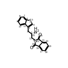 N[C@@H](Cc1csc2ccccc12)CN1C(=O)c2ccccc2C1=O